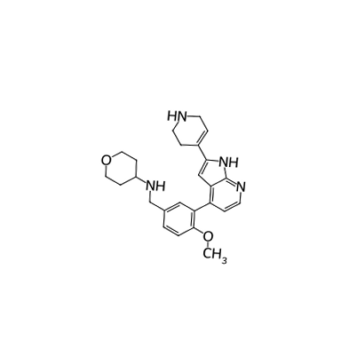 COc1ccc(CNC2CCOCC2)cc1-c1ccnc2[nH]c(C3=CCNCC3)cc12